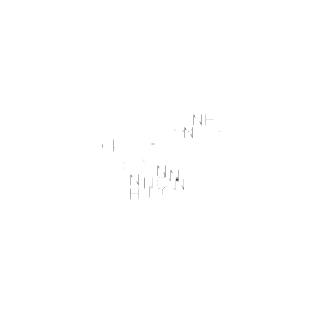 C#N.C#N.NN=Cc1cnc2[nH]cc(Cl)c2c1